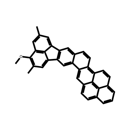 COc1c(C)cc2c3c(cc(C)cc13)-c1cc3ccc4c(cc5ccc6cccc7ccc4c5c67)c3cc1-2